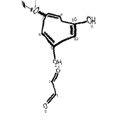 O=CC=O.Oc1cc(O)cc(O)c1